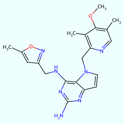 COc1c(C)cnc(Cn2ccc3nc(N)nc(NCc4cc(C)on4)c32)c1C